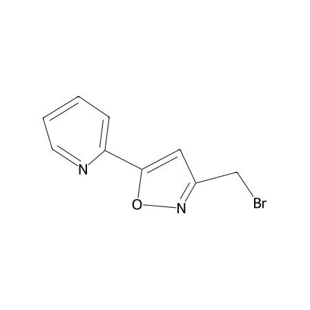 BrCc1cc(-c2ccccn2)on1